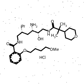 COCCCCOc1ccccc1C(=O)NC[C@@H](C[C@H](N)[C@@H](O)CNC(=O)C(C)(C)C1CCOCC1)C(C)C.Cl